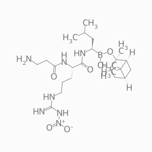 CC(C)C[C@H](NC(=O)[C@H](CCCNC(=N)N[N+](=O)[O-])NC(=O)CCN)B1O[C@@H]2C[C@@H]3C[C@@H](C3(C)C)[C@]2(C)O1